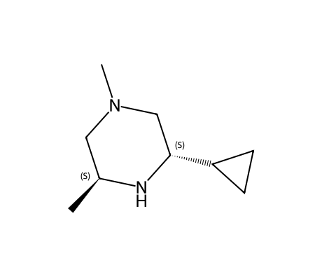 C[C@H]1CN(C)C[C@H](C2CC2)N1